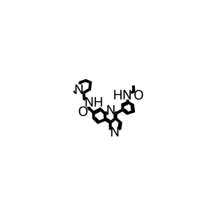 CC(=O)Nc1cccc(-c2nc3cc(C(=O)NCC4CCCCN4C)ccc3c3cnccc23)c1